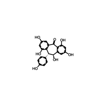 O=C1c2cc(O)cc(O)c2[C@@H](c2ccc(O)cc2)[C@H](O)c2cc(O)cc(O)c21